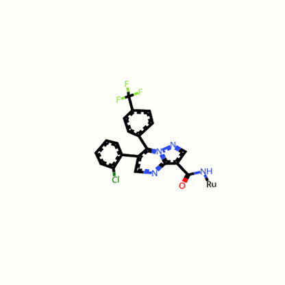 O=C([NH][Ru])c1cnn2c(-c3ccc(C(F)(F)F)cc3)c(-c3ccccc3Cl)cnc12